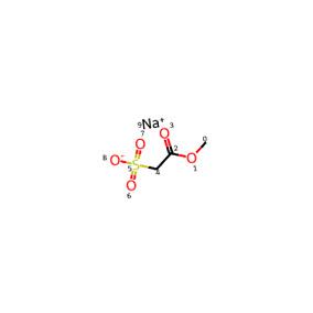 COC(=O)CS(=O)(=O)[O-].[Na+]